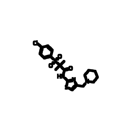 CC(C)(C(=O)Nc1nc(CN2CCCCC2)cs1)S(=O)(=O)c1ccc(Cl)cc1